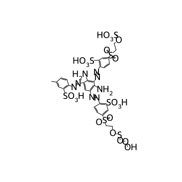 Cc1ccc(/N=N/c2cc(/N=N/c3ccc(S(=O)(=O)CCOSOOO)cc3S(=O)(=O)O)c(N)c(/N=N/c3ccc(S(=O)(=O)CCOS(=O)(=O)O)cc3S(=O)(=O)O)c2N)c(S(=O)(=O)O)c1